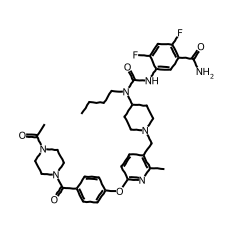 CCCCN(C(=O)Nc1cc(C(N)=O)c(F)cc1F)C1CCN(Cc2ccc(Oc3ccc(C(=O)N4CCN(C(C)=O)CC4)cc3)nc2C)CC1